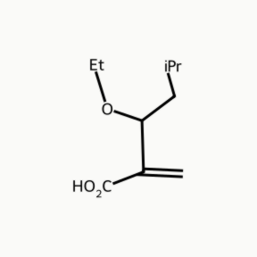 C=C(C(=O)O)C(CC(C)C)OCC